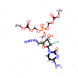 CC(C)OC(=O)OCOP(=O)(OCOC(=O)OC(C)C)OC[C@@]1(CN=[N+]=[N-])OC(n2ccc(N)nc2=O)[C@H](F)[C@@H]1O